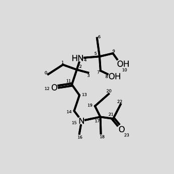 CCC(C)(NC(C)(CO)CO)C(=O)CCN(C)C(C)(CC)C(C)=O